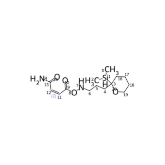 C[SiH](C)C1(CCCNOC(=O)/C=C\C(N)=O)CCCCO1